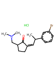 CC(C=C1CCC(CN(C)C)C1=O)c1cccc(Br)c1.Cl